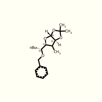 CCCC[C@@H](OCc1ccccc1)[C@H]1O[C@@H]2OC(C)(C)O[C@H]2C1C